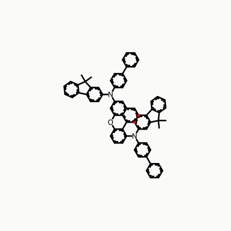 CC1(C)c2ccccc2-c2ccc(N(c3ccc(-c4ccccc4)cc3)c3cc4c5c(cccc5c3)-c3c(cccc3N(c3ccc(-c5ccccc5)cc3)c3ccc5c(c3)C(C)(C)c3ccccc3-5)O4)cc21